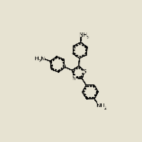 Nc1ccc(-c2nc(-c3ccc(N)cc3)c(-c3ccc(N)cc3)s2)cc1